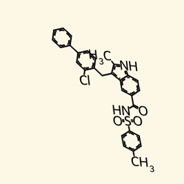 Cc1ccc(S(=O)(=O)NC(=O)c2ccc3[nH]c(C)c(Cc4ccc(-c5ccccc5)cc4Cl)c3c2)cc1